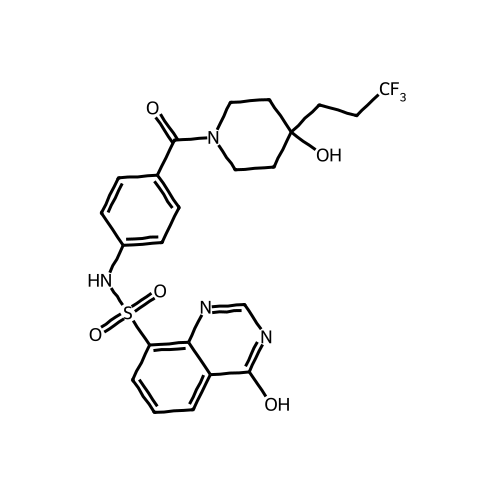 O=C(c1ccc(NS(=O)(=O)c2cccc3c(O)ncnc23)cc1)N1CCC(O)(CCC(F)(F)F)CC1